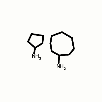 NC1CCCC1.NC1CCCCCCC1